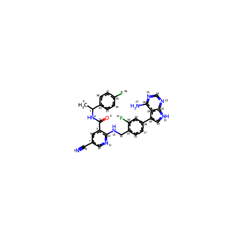 CC(NC(=O)c1cc(C#N)cnc1NCc1ccc(-c2c[nH]c3ncnc(N)c23)cc1F)c1ccc(F)cc1